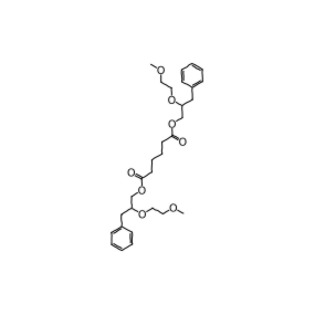 COCCOC(COC(=O)CCCCC(=O)OCC(Cc1ccccc1)OCCOC)Cc1ccccc1